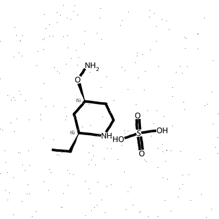 CC[C@H]1C[C@@H](ON)CCN1.O=S(=O)(O)O